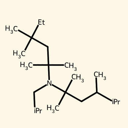 CCC(C)(C)CC(C)(C)N(CC(C)C)C(C)(C)CC(C)C(C)C